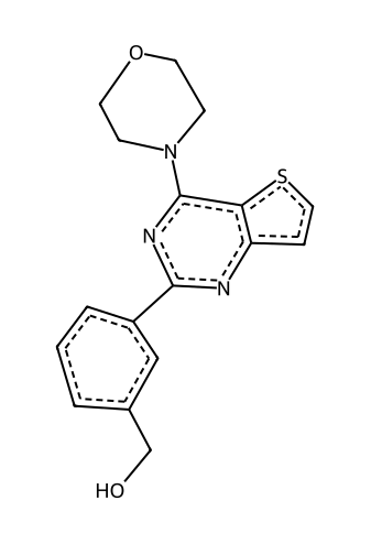 OCc1cccc(-c2nc(N3CCOCC3)c3sccc3n2)c1